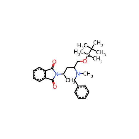 C[C@H](CC(CO[Si](C)(C)C(C)(C)C)N(C)Cc1ccccc1)N1C(=O)c2ccccc2C1=O